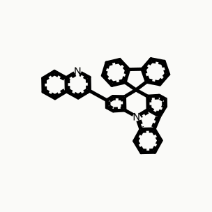 c1ccc2c(c1)-c1ccccc1C21c2cc(-c3cnc4ccccc4c3)ccc2-n2c3ccccc3c3cccc1c32